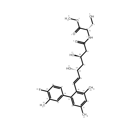 COC(=O)[C@H](CO)NC(=O)C[C@H](O)C[C@@H](O)C=Cc1c(C)cc(C)cc1-c1ccc(F)c(C)c1